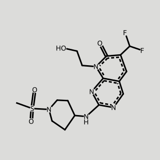 CS(=O)(=O)N1CCC(Nc2ncc3cc(C(F)F)c(=O)n(CCO)c3n2)CC1